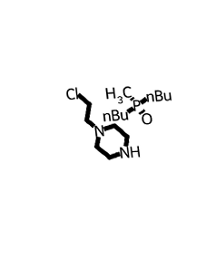 CCCCP(C)(=O)CCCC.ClCCN1CCNCC1